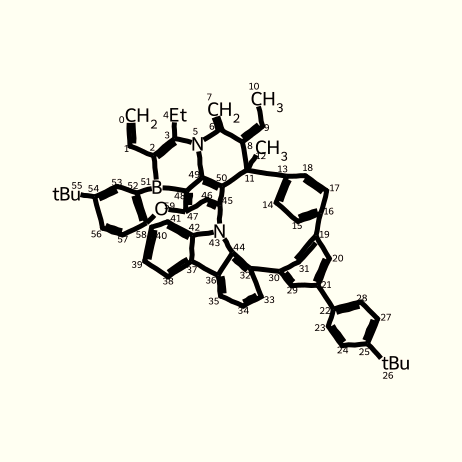 C=CC1=C(CC)N2C(=C)/C(=C\C)C3(C)c4ccc(cc4)-c4cc(-c5ccc(C(C)(C)C)cc5)cc(c4)-c4cccc5c6ccccc6n(c45)-c4cc5c(c2c43)B1c1cc(C(C)(C)C)ccc1O5